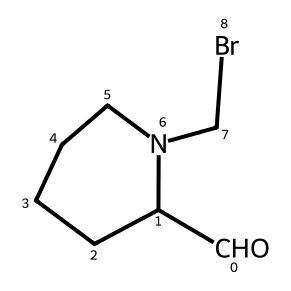 O=CC1CCCCN1CBr